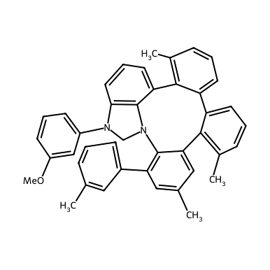 COc1cccc(N2Cn3c4c(-c5cccc(C)c5)cc(C)cc4c4c(C)cccc4c4cccc(C)c4c4cccc2c43)c1